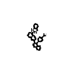 N#Cc1ccc(-c2c(-c3ccc4c(-c5ncc6ccccc6n5)cccc4c3)ccc3ccccc23)cc1